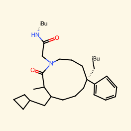 CCC(C)C[C@]1(c2ccccc2)CCCC(CC2CCC2)C(C)C(=O)N(CC(=O)N[C@@H](C)CC)CCC1